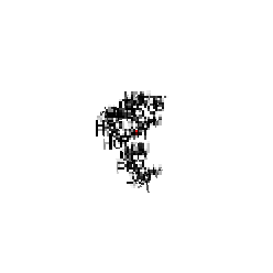 CN(C)C1C(O)=C(C(N)=O)C(=O)C2(O)C(O)=C3C(=O)c4c(O)c(I)cc([N+]#N)c4CC3CC12.CN(C)C1C(O)=C(C(N)=O)C(=O)C2(O)C(O)=C3C(=O)c4c(O)c(I)cc([N+]#N)c4CC3CC12.CN(C)C1C(O)=C(C(N)=O)C(=O)C2(O)C(O)=C3C(=O)c4c(O)c(I)cc([N+]#N)c4CC3CC12.O=S(=O)([O-])[O-].[Cl-]